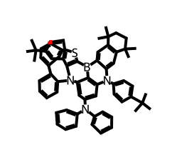 CC(C)(C)c1ccc(N2c3cc4c(cc3B3c5sc6ccc(C(C)(C)C)cc6c5N(c5ccccc5-c5ccccc5)c5cc(N(c6ccccc6)c6ccccc6)cc2c53)C(C)(C)CCC4(C)C)cc1